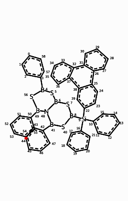 c1ccc(B2SB3SB([Si](c4ccccc4)(c4ccccc4)c4ccc5c6ccccc6c6ccccc6c5c4)SB(c4ccccc4)N3B(c3ccccc3)S2)cc1